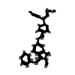 CC#C[C@@H](CC(=O)O)c1ccc(OCc2ccc3c(c2)n(C)c(=O)n3Cc2ccccc2)cc1